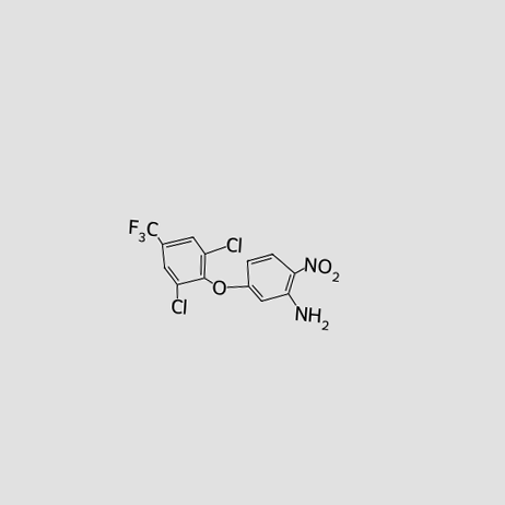 Nc1cc(Oc2c(Cl)cc(C(F)(F)F)cc2Cl)ccc1[N+](=O)[O-]